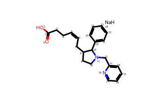 O=C(O)CC/C=C\CC1CCN(Cc2ccccn2)C1c1ccccc1.[NaH]